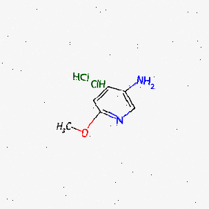 COc1ccc(N)cn1.Cl.Cl